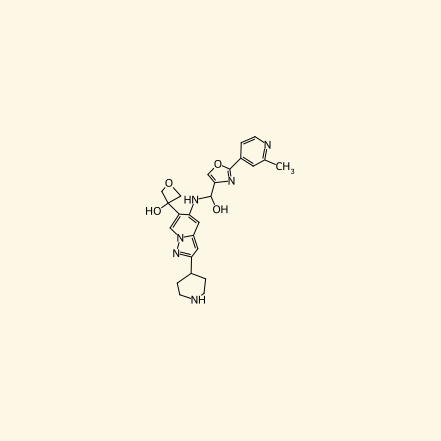 Cc1cc(-c2nc(C(O)Nc3cc4cc(C5CCNCC5)nn4cc3C3(O)COC3)co2)ccn1